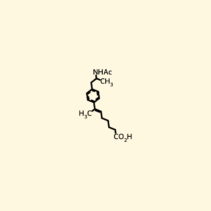 CC(=O)NC(C)Cc1ccc(C(C)=CCCCCC(=O)O)cc1